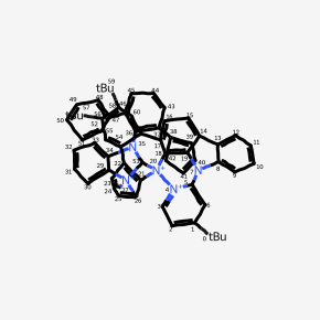 CC(C)(C)c1cc[n+]2c(c1)-n1c3ccccc3c3ccc4c(c31)[N+]21c2c(cccc2[N+]2(C)c3ccccc3N(c3c(C5=CC=CC5)cccc3-c3ccccc3)C21)-c1cc(C(C)(C)C)c(C(C)(C)C)cc1-4